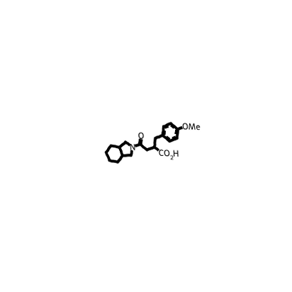 COc1ccc(CC(CC(=O)N2CC3CCCCC3C2)C(=O)O)cc1